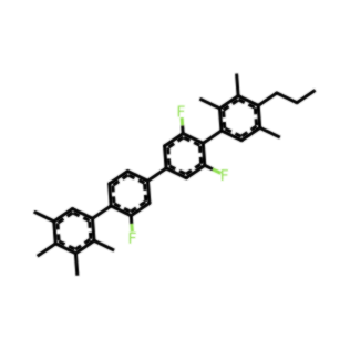 CCCc1c(C)cc(-c2c(F)cc(-c3ccc(-c4cc(C)c(C)c(C)c4C)c(F)c3)cc2F)c(C)c1C